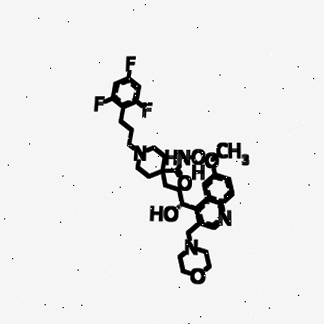 COc1ccc2ncc(CN3CCOCC3)c([C@H](O)CCC3(C(=O)NO)CCN(CCCc4c(F)cc(F)cc4F)CC3)c2c1